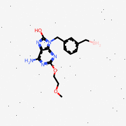 BCc1cccc(Cn2c(O)nc3c(N)nc(OCCOC)nc32)c1